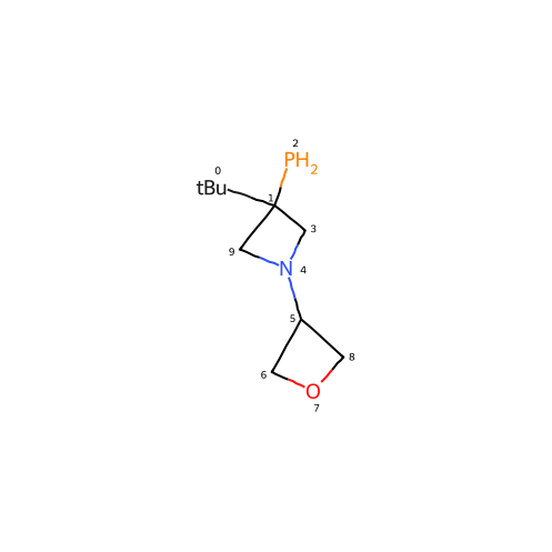 CC(C)(C)C1(P)CN(C2COC2)C1